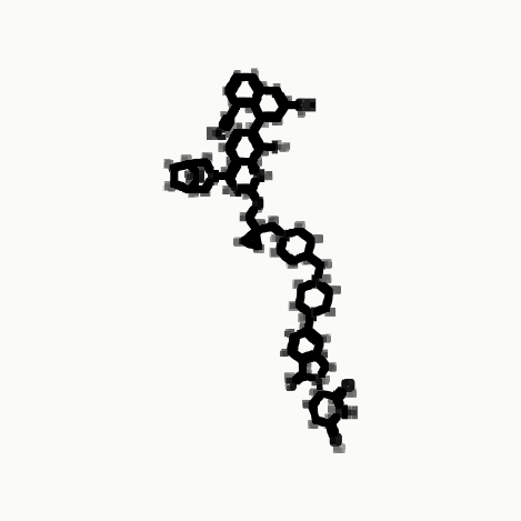 C#Cc1cccc2cc(O)cc(-c3ccc4c(N5CC6CCC(C5)N6)nc(OCC5(CN6CCC(CN7CCN(c8ccc9c(c8)CN([C@H]8CCC(=O)NC8=O)C9=O)CC7)CC6)CC5)nc4c3F)c12